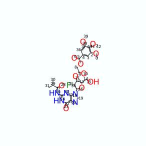 COc1cc(C(=O)OCC(=O)OC2C(CO)OC(n3cnc4c(=O)[nH]c(NC(=O)C(C)C)nc43)C2F)cc(OC)c1OC